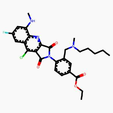 CCCCCN(C)Cc1cc(C(=O)OCC)ccc1N1C(=O)c2nc3c(NC)cc(F)cc3c(Cl)c2C1=O